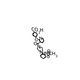 CS(=O)(=O)Nc1ccccc1N1CCN(C(=O)c2cccnc2Oc2ccc(C(=O)O)cc2)CC1